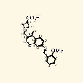 COc1ccccc1COc1ccc2c(c1)CCC(CN1CC(C(=O)O)C1)=C2C